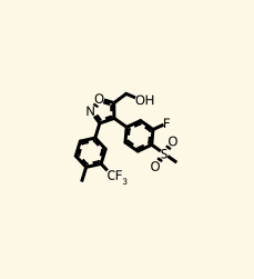 Cc1ccc(-c2noc(CO)c2-c2ccc(S(C)(=O)=O)c(F)c2)cc1C(F)(F)F